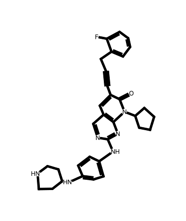 O=c1c(C#CCc2ccccc2F)cc2cnc(Nc3ccc(NC4CCNCC4)cc3)nc2n1C1CCCC1